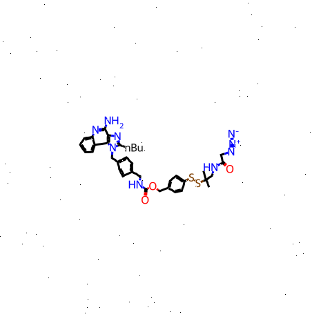 CCCCc1nc2c(N)nc3ccccc3c2n1Cc1ccc(CNC(=O)OCc2ccc(SSC(C)(C)CNC(=O)CN=[N+]=[N-])cc2)cc1